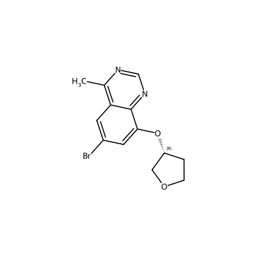 Cc1ncnc2c(O[C@@H]3CCOC3)cc(Br)cc12